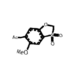 COc1cc2c(cc1C(C)=O)OCS2(=O)=O